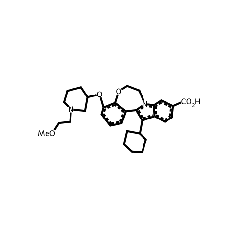 COCCN1CCCC(Oc2cccc3c2OCCn2c-3c(C3CCCCC3)c3ccc(C(=O)O)cc32)C1